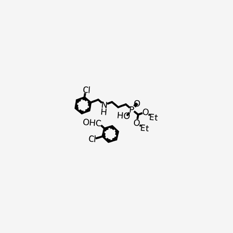 CCOC(OCC)P(=O)(O)CCCNCc1ccccc1Cl.O=Cc1ccccc1Cl